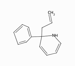 C=CCC1(c2ccccc2)C=CC=CN1